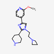 COc1cc(-c2cn(CCN3CCC3)c(C3CCNCC3)n2)ccn1